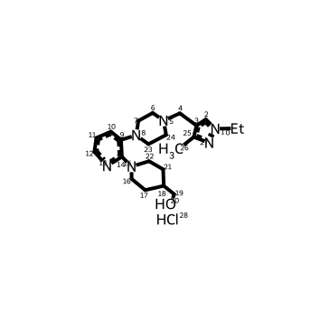 CCn1cc(CN2CCN(c3cccnc3N3CCC(CO)CC3)CC2)c(C)n1.Cl